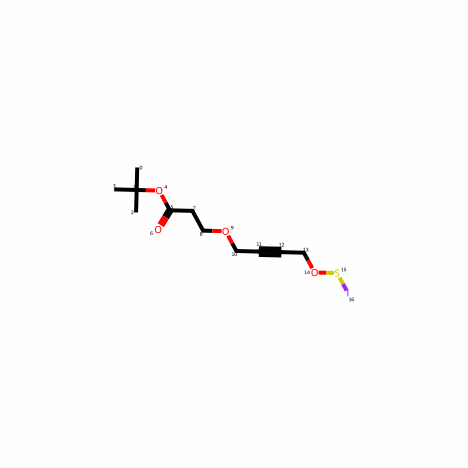 CC(C)(C)OC(=O)CCOCC#CCOSI